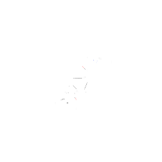 CN(C)CC(=O)c1ccc(C(=O)C(C)(C)C)cc1